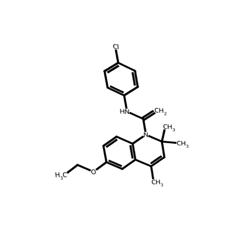 C=C(Nc1ccc(Cl)cc1)N1c2ccc(OCC)cc2C(C)=CC1(C)C